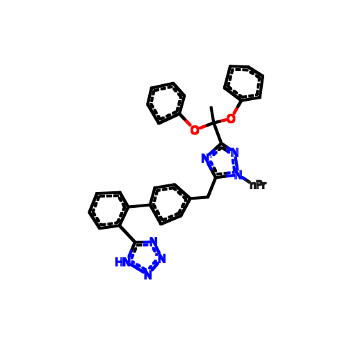 CCCn1nc(C(C)(Oc2ccccc2)Oc2ccccc2)nc1Cc1ccc(-c2ccccc2-c2nnn[nH]2)cc1